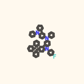 Fc1ccc(-n2c3ccc(N(c4ccccc4)c4ccc5c(c4)c4ccccc4n5-c4ccccc4)cc3c3cc([Si](c4ccccc4)(c4ccccc4)c4ccccc4)ccc32)cc1